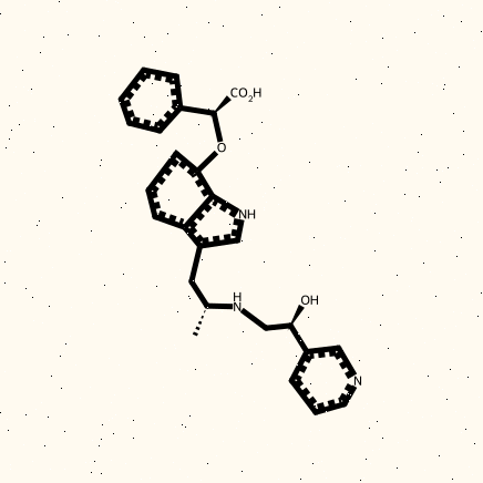 C[C@H](Cc1c[nH]c2c(O[C@H](C(=O)O)c3ccccc3)cccc12)NC[C@@H](O)c1cccnc1